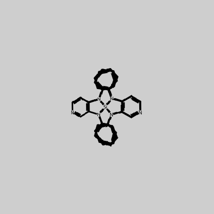 c1ccc(N2c3ccncc3N(c3ccccc3)[Si]23N(c2ccccc2)c2ccncc2N3c2ccccc2)cc1